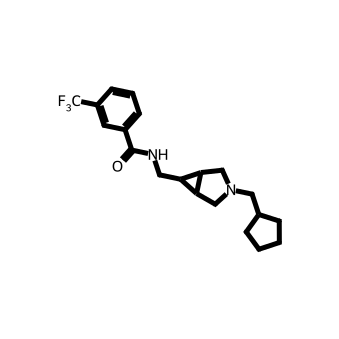 O=C(NCC1C2CN(CC3CCCC3)CC12)c1cccc(C(F)(F)F)c1